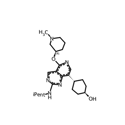 CCCC(C)Nc1ncc2c(O[C@@H]3CCCN(C)C3)ncc([C@H]3CC[C@H](O)CC3)c2n1